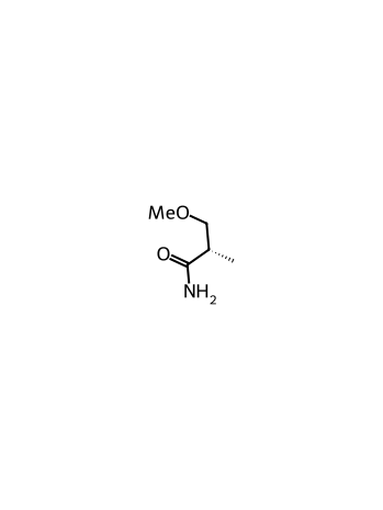 COC[C@H](C)C(N)=O